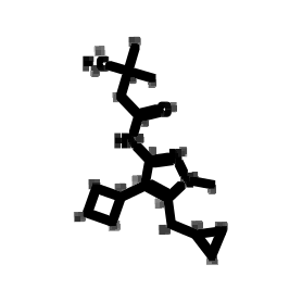 Cn1nc(NC(=O)CC(C)(C)C(F)(F)F)c(C2CCC2)c1CC1CC1